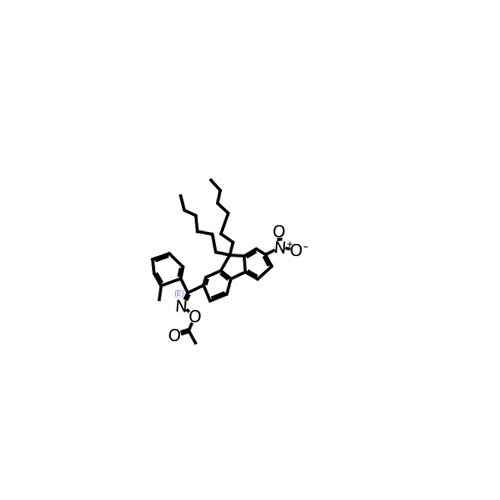 CCCCCCC1(CCCCCC)c2cc(/C(=N\OC(C)=O)c3ccccc3C)ccc2-c2ccc([N+](=O)[O-])cc21